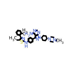 CCc1sc(Nc2ccc(-c3nn([C@H]4CC[C@@H](N5CCN(C)CC5)CC4)c4ncnc(N)c34)cc2)nc1-c1ccccc1C